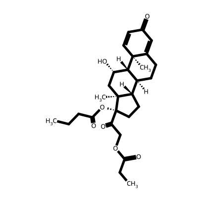 CCCC(=O)O[C@@]1(C(=O)COC(=O)CC)CC[C@H]2[C@@H]3CCC4=CC(=O)C=C[C@]4(C)[C@H]3[C@@H](O)C[C@@]21C